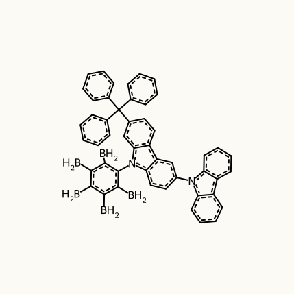 Bc1c(B)c(B)c(-n2c3ccc(-n4c5ccccc5c5ccccc54)cc3c3ccc(C(c4ccccc4)(c4ccccc4)c4ccccc4)cc32)c(B)c1B